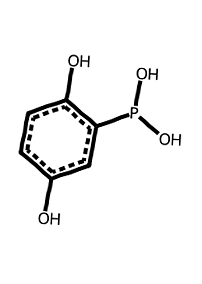 Oc1ccc(O)c(P(O)O)c1